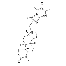 Cc1nc2nc(CC3CC[C@H]4[C@@H]5CCC6N(C)C(=O)C=C[C@]6(C)[C@@H]5CC[C@]34C)[nH]c2c(C)c1Cl